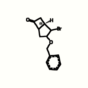 O=C1C[C@@H]2C1CC(OCc1ccccc1)C2Br